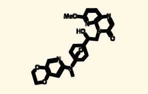 COc1ccc2ncc(=O)n(CC(O)C34CCC(N(C)c5cc6c(cn5)OCCO6)(CC3)CO4)c2n1